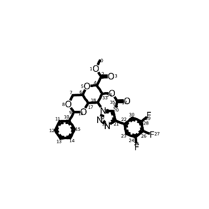 COC(=O)C1OC2COC(c3ccccc3)OC2C(n2cc(-c3cc(F)c(F)c(F)c3)nn2)C1OC(C)=O